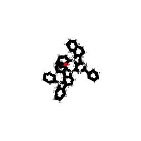 c1ccc(-c2nc(-n3c4ccccc4c4c3ccc3c5ccccc5n(-c5ccccc5)c34)c3c(n2)c2ccc4ccccc4c2n3-c2ccccc2)cc1